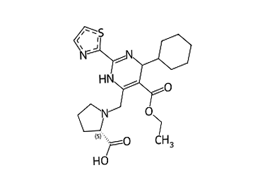 CCOC(=O)C1=C(CN2CCC[C@H]2C(=O)O)NC(c2nccs2)=NC1C1CCCCC1